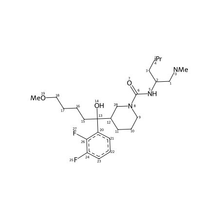 CNCC(CC(C)C)NC(=O)N1CCCC(C(O)(CCCCOC)c2cccc(F)c2F)C1